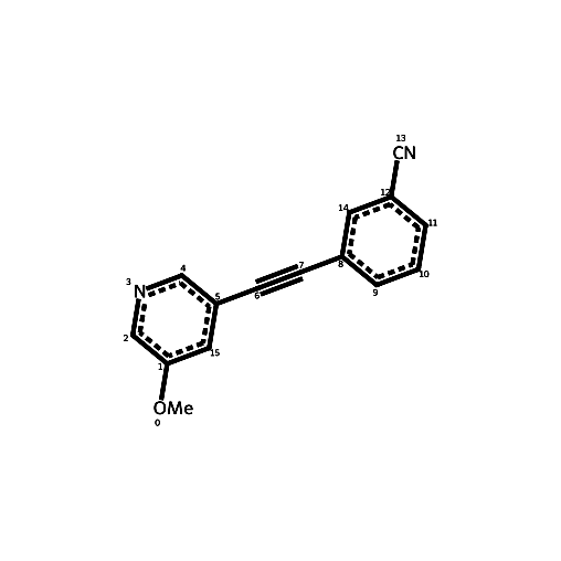 COc1cncc(C#Cc2cccc(C#N)c2)c1